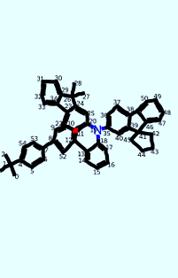 CC(C)(C)c1ccc(-c2cccc(-c3ccccc3N(c3ccc4c(c3)C(C)(C)c3ccccc3-4)c3ccc4c(c3)C3(CCCC3)c3ccccc3-4)c2)cc1